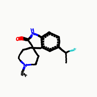 CC(F)c1ccc2c(c1)C1(CCN(C(C)C)CC1)C(=O)N2